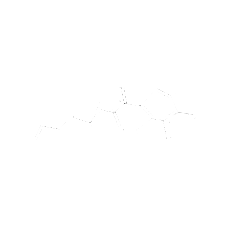 C=CCOCOC(=O)C(=C)c1ccc(C)c(C)c1C